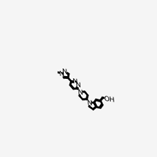 Cn1cc(-c2ccc(N3CCC(N4CCc5ccc(CO)cc54)CC3)nn2)cn1